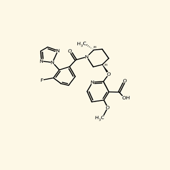 COc1ccnc(O[C@@H]2CC[C@@H](C)N(C(=O)c3cccc(F)c3-n3nccn3)C2)c1C(=O)O